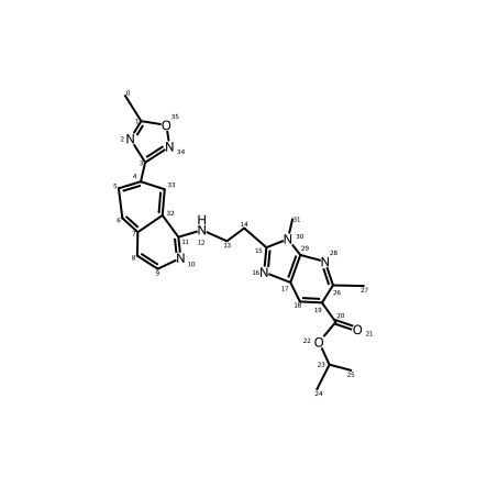 Cc1nc(-c2ccc3ccnc(NCCc4nc5cc(C(=O)OC(C)C)c(C)nc5n4C)c3c2)no1